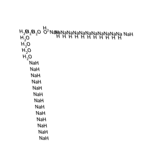 O.O.O.O.O.O.O.O.[NaH].[NaH].[NaH].[NaH].[NaH].[NaH].[NaH].[NaH].[NaH].[NaH].[NaH].[NaH].[NaH].[NaH].[NaH].[NaH].[NaH].[NaH].[NaH].[NaH].[NaH].[NaH].[NaH].[NaH].[NaH].[NaH]